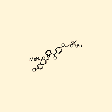 CNC(=O)c1cc(Cl)ccc1/C=C/Cn1cccc1C(=O)c1ccc(OCCO[Si](C)(C)C(C)(C)C)cc1